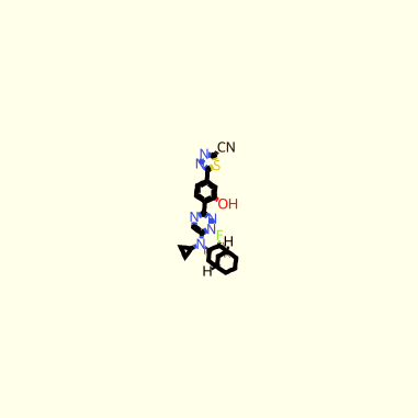 N#Cc1nnc(-c2ccc(-c3ncc(N(C4CC4)[C@@H]4C[C@H]5CCC[C@H](C5)[C@@H]4F)nn3)c(O)c2)s1